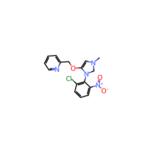 CN1C=C(OCc2ccccn2)N(c2c(Cl)cccc2[N+](=O)[O-])C1